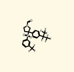 O=CN1CCC(c2ccc(C(F)(C(F)(F)F)C(F)(F)F)cc2)(S(=O)(=O)c2cccc(C(F)(F)F)c2)C1